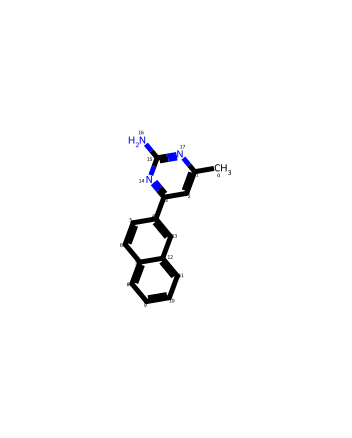 Cc1cc(-c2ccc3ccccc3c2)nc(N)n1